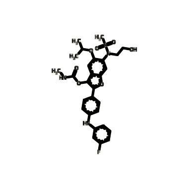 CNC(=O)Oc1c(-c2ccc(Nc3cccc(F)c3)cc2)oc2cc(N(CCO)S(C)(=O)=O)c(OC(C)C)cc12